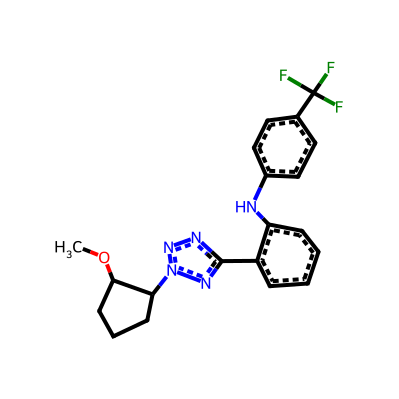 COC1CCCC1n1nnc(-c2ccccc2Nc2ccc(C(F)(F)F)cc2)n1